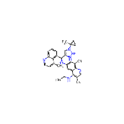 Cc1ccnc2cccc([C@H](Nc3cc(C#N)c4ncc(C#N)c(NCC(C)(C)C)c4c3)C3=CN(C4(C(F)(F)F)CC4)NN3)c12